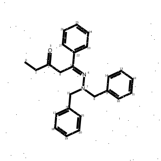 CCC(=O)C/C(=N\N(Cc1ccccc1)Cc1ccccc1)c1ccccc1